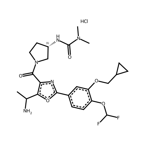 CC(N)c1oc(-c2ccc(OC(F)F)c(OCC3CC3)c2)nc1C(=O)N1CC[C@H](NC(=O)N(C)C)C1.Cl